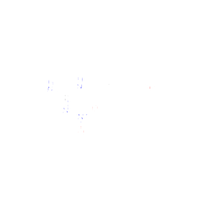 CNC(=N[N+](=O)[O-])NCCCCOC